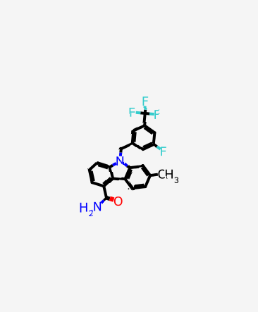 Cc1c[c]c2c3c(C(N)=O)cccc3n(Cc3cc(F)cc(C(F)(F)F)c3)c2c1